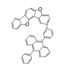 c1ccc(-c2c3ccccc3c(-c3cccc(-c4ccc5oc6ccc7c8ccccc8oc7c6c5c4)c3)c3ccccc23)cc1